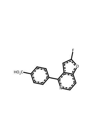 O=C(O)c1ccc(-c2nccc3oc(F)cc23)cc1